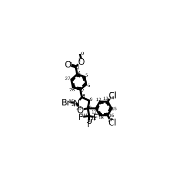 COC(=O)c1ccc(C2CC(c3cc(Cl)cc(Cl)c3)(C(F)(F)F)ON2Br)cc1